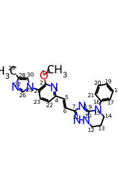 COc1nc(C=Cc2nc3n(n2)CCCN3c2ccccc2)ccc1-n1cnc(C)c1